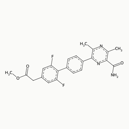 COC(=O)Cc1cc(F)c(-c2ccc(-c3nc(C(N)=O)c(C)nc3C)cc2)c(F)c1